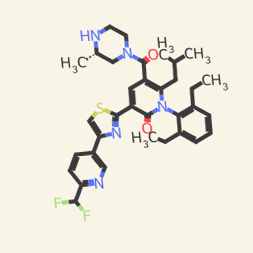 CCc1cccc(CC)c1-n1c(CC(C)C)c(C(=O)N2CCN[C@@H](C)C2)cc(-c2nc(-c3ccc(C(F)F)nc3)cs2)c1=O